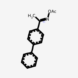 CC(=O)O/N=C(\C)c1ccc(-c2ccccc2)cc1